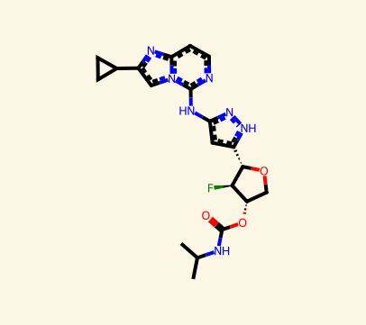 CC(C)NC(=O)O[C@H]1CO[C@@H](c2cc(Nc3nccc4nc(C5CC5)cn34)n[nH]2)[C@@H]1F